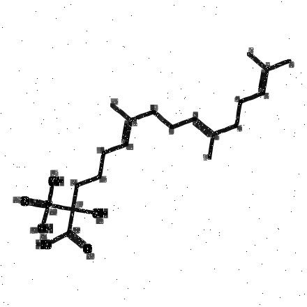 CC(C)=CCCC(C)=CCCC(C)=CCCCC(O)(C(=O)O)P(=O)(O)O